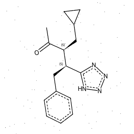 CC(=O)[C@@H](CC1CC1)[C@H](Cc1ccccc1)c1nnn[nH]1